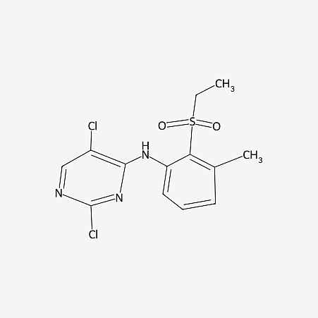 CCS(=O)(=O)c1c(C)cccc1Nc1nc(Cl)ncc1Cl